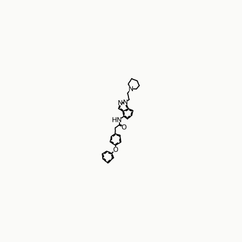 O=C(Cc1ccc(Oc2ccccc2)cc1)Nc1cccc2c1cnn2CCN1CCCCC1